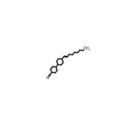 CCCCCCC/C=C/C1CCC(C2CCC(C#N)CC2)CC1